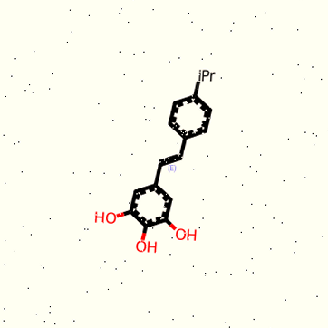 CC(C)c1ccc(/C=C/c2cc(O)c(O)c(O)c2)cc1